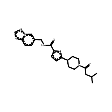 CC(C)CC(=O)N1CCC(c2ccc(C(=O)NCc3ccc4ncnn4c3)s2)CC1